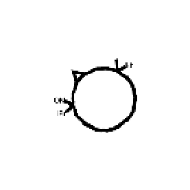 CCC1(C)CCCCCCCCCCC(N=O)(C(C)C)CC2CC2CC1